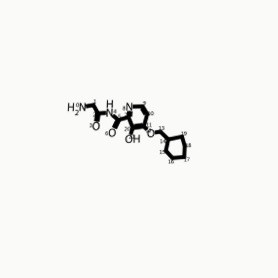 NCC(=O)NC(=O)c1nccc(OCC2CCCCC2)c1O